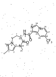 Cc1cc2n(n1)CC[C@H](NC(=O)c1ncn3ccc(C(F)(F)F)cc13)C(=O)N2C